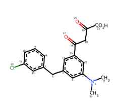 CN(C)c1cc(Cc2cccc(Cl)c2)cc(C(=O)CC(=O)C(=O)O)c1